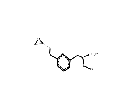 CCOC(=O)[C@H](Cc1cccc(OC[C@@H]2CO2)c1)OC(C)C